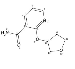 NC(=O)c1cccnc1OC1CCOC1